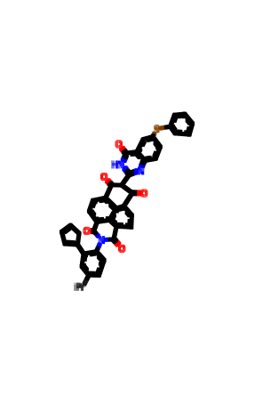 CC(C)c1ccc(N2C(=O)c3ccc4c5c(ccc(c35)C2=O)C(=O)C(c2nc3ccc(Sc5ccccc5)cc3c(=O)[nH]2)C4=O)c(C2=CC=CC2)c1